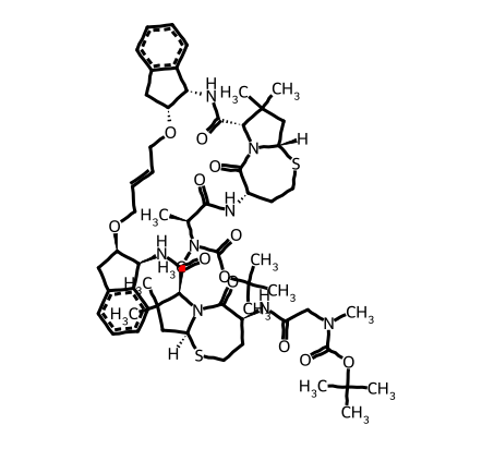 C[C@@H](C(=O)N[C@H]1CCS[C@H]2CC(C)(C)[C@@H](C(=O)N[C@H]3c4ccccc4C[C@H]3OC/C=C/CO[C@@H]3Cc4ccccc4[C@@H]3NC(=O)[C@H]3N4C(=O)[C@@H](NC(=O)CN(C)C(=O)OC(C)(C)C)CCS[C@H]4CC3(C)C)N2C1=O)N(C)C(=O)OC(C)(C)C